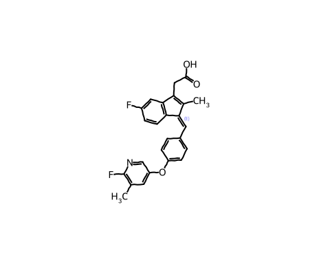 CC1=C(CC(=O)O)c2cc(F)ccc2/C1=C\c1ccc(Oc2cnc(F)c(C)c2)cc1